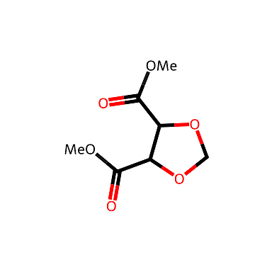 COC(=O)C1OCOC1C(=O)OC